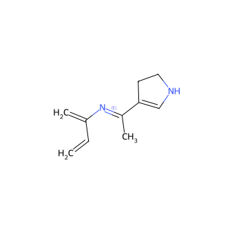 C=CC(=C)/N=C(\C)C1=CNCC1